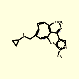 C/N=C(\C1=C(O)C=C/C=C(CNC2CC2)/C=C\1C)c1cnn(C)c1